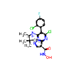 C[C@@H](Nc1c(-c2ccc(F)cc2Cl)c(Cl)nc2c(C(=O)NO)cnn12)C(C)(C)C